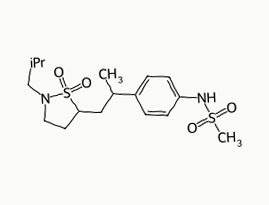 CC(C)CN1CCC(CC(C)c2ccc(NS(C)(=O)=O)cc2)S1(=O)=O